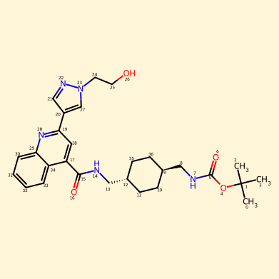 CC(C)(C)OC(=O)NC[C@H]1CC[C@H](CNC(=O)c2cc(-c3cnn(CCO)c3)nc3ccccc23)CC1